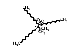 CCCCCCCCCC/N=C(\N(C)C)[N+](CCCCCCCCCC)(CCCCCCCCCC)C(=O)O